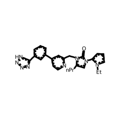 CCCc1cn(-c2cccn2CC)c(=O)n1Cc1cc(-c2cccc(-c3nnn[nH]3)c2)ccn1